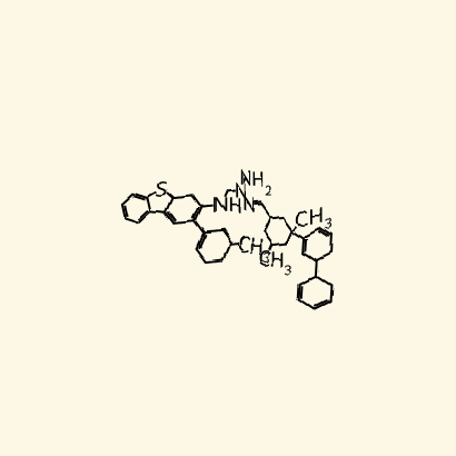 CC1CCC=C(C2=C(NCN(N)/N=C/C3CC(C)CC(C)(C4=CC(C5C=CC=CC5)CC=C4)C3)CC3Sc4ccccc4C3=C2)C1